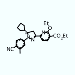 CCOC(=O)c1ccc(C2=NN(c3ccc(C#N)c(C)c3)[C@@H](C3CCCC3)C2)nc1OCC